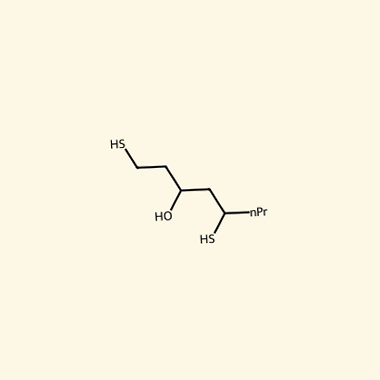 CCCC(S)CC(O)CCS